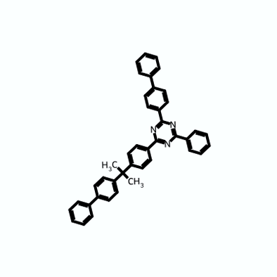 CC(C)(c1ccc(-c2ccccc2)cc1)c1ccc(-c2nc(-c3ccccc3)nc(-c3ccc(-c4ccccc4)cc3)n2)cc1